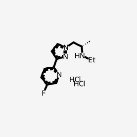 CCN[C@@H](C)Cn1ccc(-c2ccc(F)cn2)n1.Cl.Cl